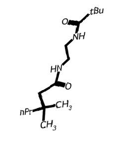 CCCC(C)(C)CC(=O)NCCNC(=O)C(C)(C)C